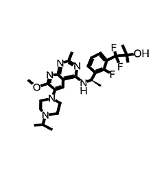 COc1nc2nc(C)nc(N[C@H](C)c3cccc(C(F)(F)C(C)(C)O)c3F)c2cc1N1CCN(C(C)C)CC1